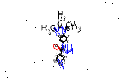 CN=C(C)N(C)c1ccc(NC(=O)c2ccncc2)cc1